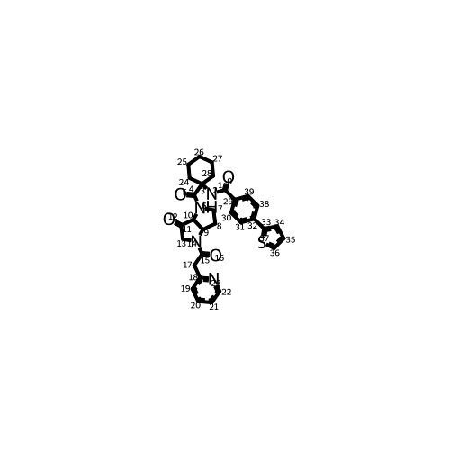 O=C(NC1(C(=O)N2CCC3C2C(=O)CN3C(=O)Cc2ccccn2)CCCCC1)c1ccc(-c2cccs2)cc1